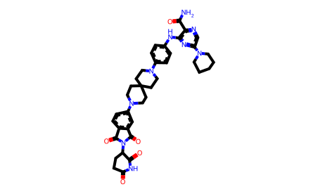 NC(=O)c1ncc(N2CCCCC2)nc1Nc1ccc(N2CCC3(CC2)CCN(c2ccc4c(c2)C(=O)N(C2CCC(=O)NC2=O)C4=O)CC3)cc1